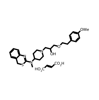 COc1ccc(CCOCC(O)CN2CCC(N(C)C3=Nc4ccccc4CS3)CC2)cc1.O=C(O)C=CC(=O)O